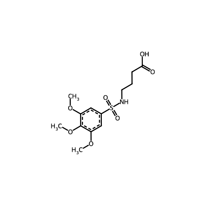 COc1cc(S(=O)(=O)NCCCC(=O)O)cc(OC)c1OC